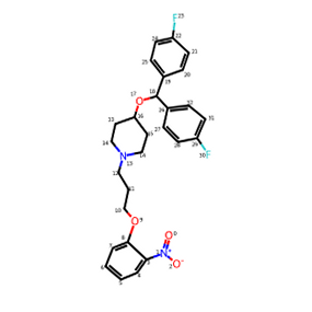 O=[N+]([O-])c1ccccc1OCCCN1CCC(OC(c2ccc(F)cc2)c2ccc(F)cc2)CC1